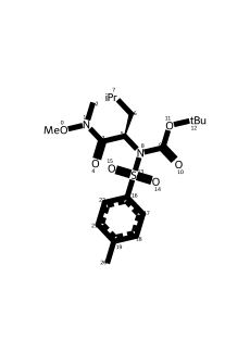 CON(C)C(=O)[C@@H](CC(C)C)N(C(=O)OC(C)(C)C)S(=O)(=O)c1ccc(C)cc1